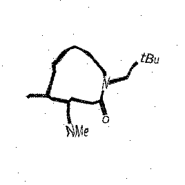 CNC1C(=O)N(CC(C)(C)C)CCCC1C